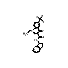 CCn1cc(C(=O)NC2CCc3cccnc32)c(=O)c2cc(C(F)(F)F)ccc21